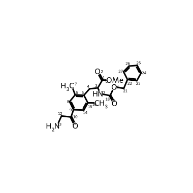 COC(=O)C(Cc1c(C)cc(C(=O)CN)cc1C)NC(=O)OCc1ccccc1